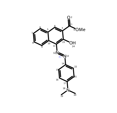 COC(=O)c1cc2ccccc2c(/N=N/c2ccc(N(C)C)cc2)c1O